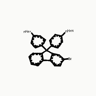 CCCCCCc1ccc(C2(c3ccc(CCCCCC)cc3)c3ccccc3-c3ccc(Br)cc32)cc1